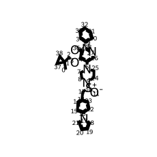 CC1(COc2c(N3CCN([S@+]([O-])Cc4ccc(-n5cccc5)cc4)CC3)cnn(-c3ccccc3)c2=O)CC1